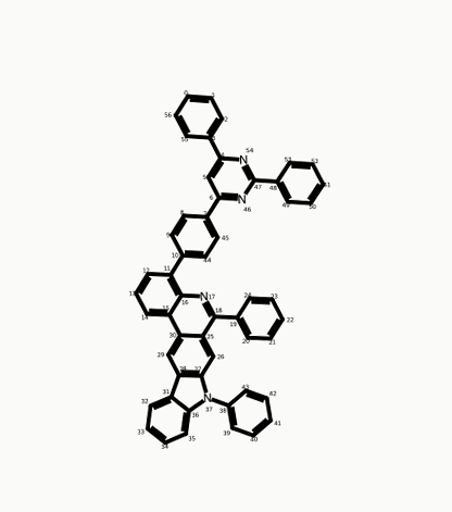 c1ccc(-c2cc(-c3ccc(-c4cccc5c4nc(-c4ccccc4)c4cc6c(cc45)c4ccccc4n6-c4ccccc4)cc3)nc(-c3ccccc3)n2)cc1